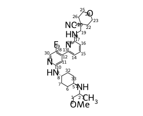 COCC(C)N[C@H]1CC[C@H](Nc2cc(-c3cccc(NCC4(C#N)CCOCC4)n3)c(F)cn2)CC1